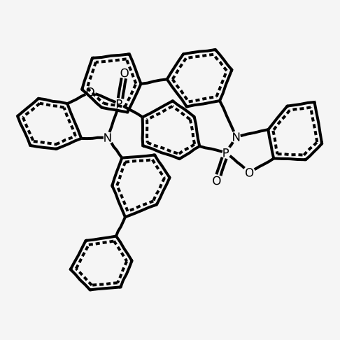 O=P1(c2ccc(P3(=O)Oc4ccccc4N3c3cccc(-c4ccccc4)c3)cc2)Oc2ccccc2N1c1cccc(-c2ccccc2)c1